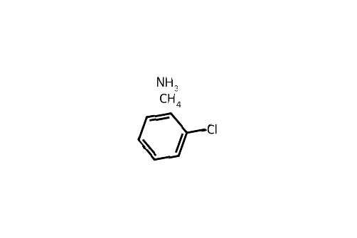 C.Clc1ccccc1.N